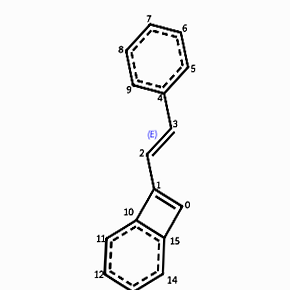 C1=C(/C=C/c2ccccc2)c2ccccc21